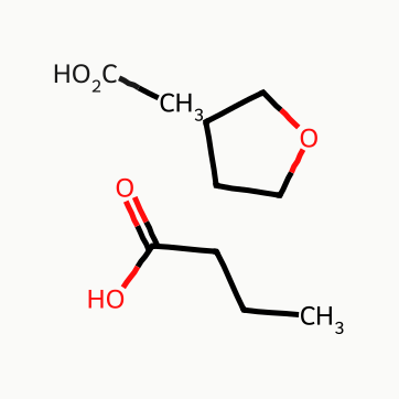 C1CCOC1.CC(=O)O.CCCC(=O)O